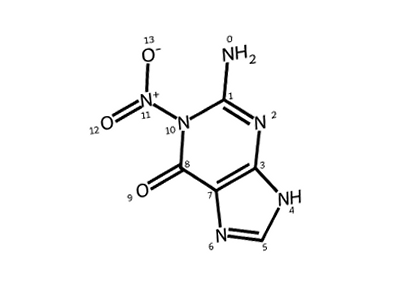 Nc1nc2[nH]cnc2c(=O)n1[N+](=O)[O-]